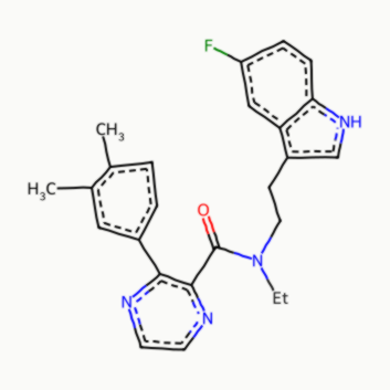 CCN(CCc1c[nH]c2ccc(F)cc12)C(=O)c1nccnc1-c1ccc(C)c(C)c1